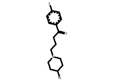 [2H]C1CCN(CCCC(=O)c2ccc(F)cc2)CC1